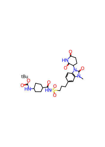 Cn1c(=O)n(C2CCC(=O)NC2=O)c2ccc(CCCS(=O)(=O)NC(=O)C3CCC(NC(=O)OC(C)(C)C)CC3)cc21